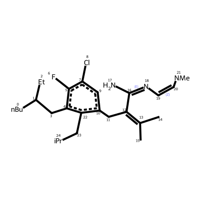 CCCCC(CC)Cc1c(F)c(Cl)cc(CC(=C(C)C)/C(N)=N\C=C/NC)c1CC(C)C